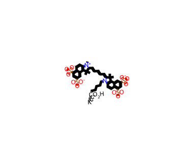 C[N+]1=C(C=CC=CC=C2N(CCCCCC(=O)O)c3ccc4c(S(=O)(=O)[O-])cc(S(=O)(=O)[O-])cc4c3C2(C)C)C(C)(C)c2c1ccc1c(S(=O)(=O)[O-])cc(S(=O)(=O)[O-])cc21.[K+].[K+].[K+]